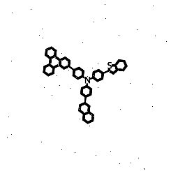 c1ccc2cc(-c3ccc(N(c4ccc(-c5ccc6c7ccccc7c7ccccc7c6c5)cc4)c4ccc(-c5cc6ccccc6s5)cc4)cc3)ccc2c1